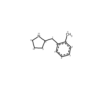 Cc1ccccc1CC1CCC[N]1